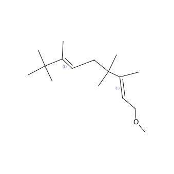 COC/C=C(\C)C(C)(C)C/C=C(\C)C(C)(C)C